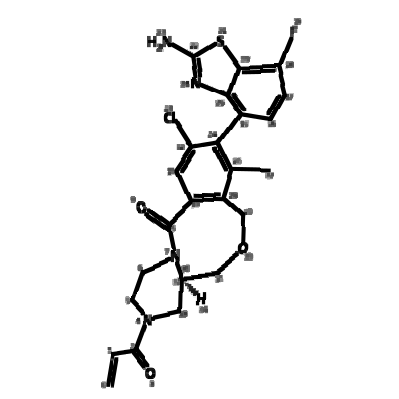 C=CC(=O)N1CCN2C(=O)c3cc(Cl)c(-c4ccc(F)c5sc(N)nc45)c(C)c3COC[C@H]2C1